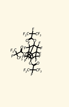 O=C(OC12C(F)(F)C3(F)C(F)(F)C(OC(=O)C(F)(C(F)(F)F)C(F)(F)F)(C1(F)F)C(F)(F)C(OC(=O)C(F)(C(F)(F)F)C(F)(F)F)(C3(F)F)C2(F)F)C(F)(C(F)(F)F)C(F)(F)F